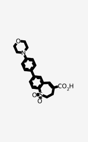 O=C(O)C1=Cc2cc(-c3ccc(N4CCOCC4)cc3)ccc2S(=O)(=O)CC1